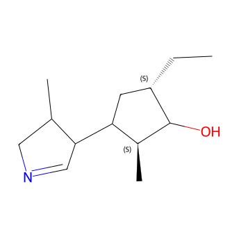 CC[C@H]1CC(C2C=NCC2C)[C@H](C)C1O